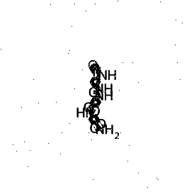 N=C(c1cccc(NC(=O)Nc2ccc(S(=O)(=O)Nc3ccc(S(N)(=O)=O)cc3)cc2)c1)N1CCOCC1